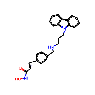 O=C(/C=C/c1ccc(CNCCCn2c3ccccc3c3ccccc32)cc1)NO